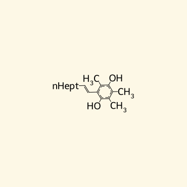 CCCCCCCC=Cc1c(C)c(O)c(C)c(C)c1O